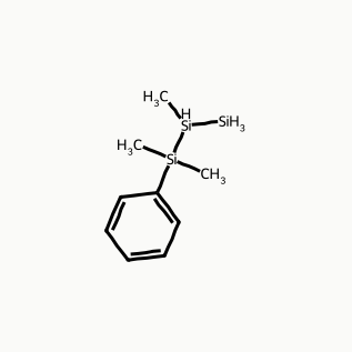 C[SiH]([SiH3])[Si](C)(C)c1ccccc1